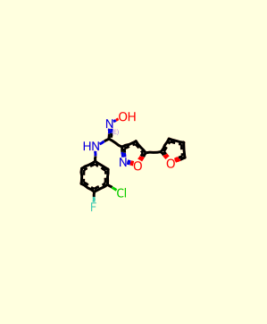 O/N=C(/Nc1ccc(F)c(Cl)c1)c1cc(-c2ccco2)on1